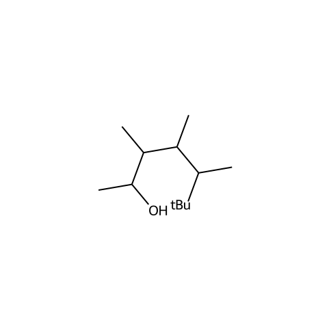 CC(O)C(C)C(C)C(C)C(C)(C)C